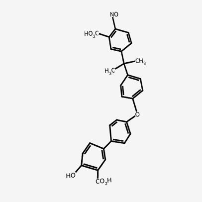 CC(C)(c1ccc(Oc2ccc(-c3ccc(O)c(C(=O)O)c3)cc2)cc1)c1ccc(N=O)c(C(=O)O)c1